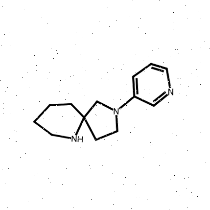 c1cncc(N2CCC3(CCCCN3)C2)c1